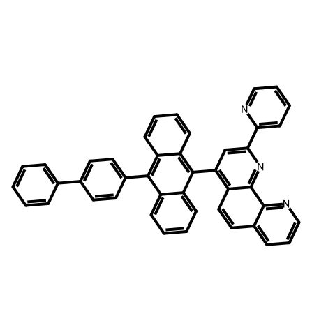 c1ccc(-c2ccc(-c3c4ccccc4c(-c4cc(-c5ccccn5)nc5c4ccc4cccnc45)c4ccccc34)cc2)cc1